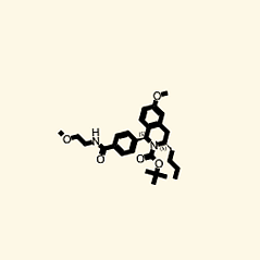 CCCC[C@H]1Cc2cc(OC)ccc2[C@H](c2ccc(C(=O)NCCOC)cc2)N1C(=O)OC(C)(C)C